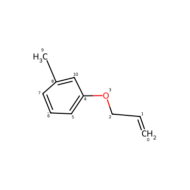 C=CCOc1c[c]cc(C)c1